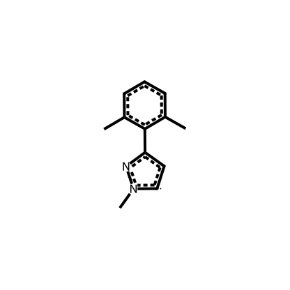 Cc1cccc(C)c1-c1c[c]n(C)n1